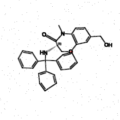 CN1C(=O)[C@@H](NC(c2ccccc2)(c2ccccc2)c2ccccc2)COc2cc(CO)ccc21